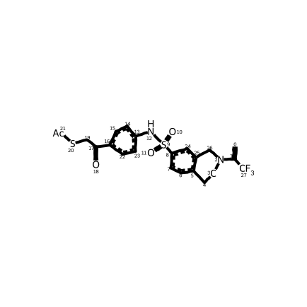 C=C(N1CCc2ccc(S(=O)(=O)Nc3ccc(C(=O)CSC(C)=O)cc3)cc2C1)C(F)(F)F